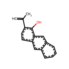 [CH]=C(C)c1ccc2cc3ccccc3cc2c1O